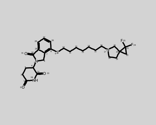 O=C1CCC(N2Cc3c(SCCCCCCCN4CCC5(C4)CC5(F)F)cccc3C2=O)C(=O)N1